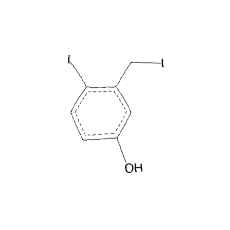 Oc1ccc(I)c(CI)c1